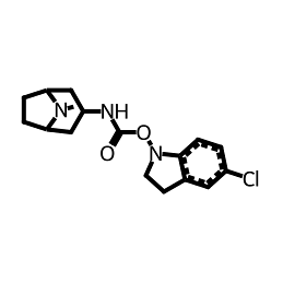 CN1C2CCC1CC(NC(=O)ON1CCc3cc(Cl)ccc31)C2